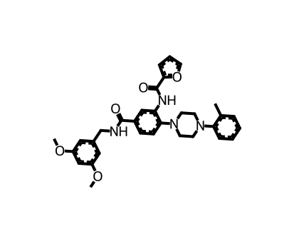 COc1cc(CNC(=O)c2ccc(N3CCN(c4ccccc4C)CC3)c(NC(=O)c3ccco3)c2)cc(OC)c1